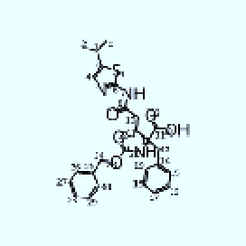 CC(C)c1cnc(NC(=O)CCC(Cc2ccccc2)(NC(=O)OCc2ccccc2)C(=O)O)s1